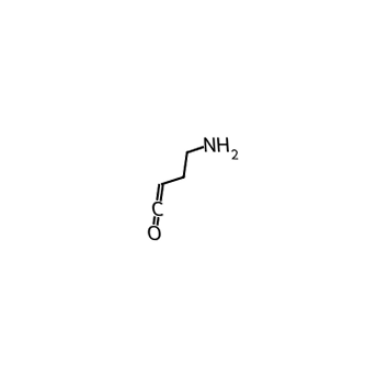 NCCC=C=O